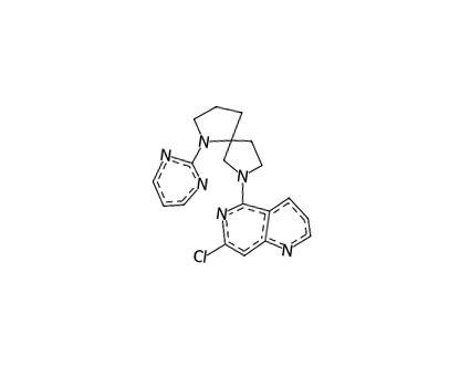 Clc1cc2ncccc2c(N2CCC3(CCCN3c3ncccn3)C2)n1